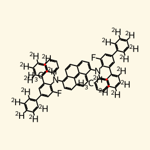 [2H]c1c([2H])c([2H])c(-c2cc(F)c(N(c3ccccc3C)c3ccc4ccc5c(N(c6ccccc6C)c6c(F)cc(-c7c([2H])c([2H])c([2H])c([2H])c7[2H])cc6-c6c([2H])c([2H])c([2H])c([2H])c6[2H])ccc6ccc3c4c65)c(-c3c([2H])c([2H])c([2H])c([2H])c3[2H])c2)c([2H])c1[2H]